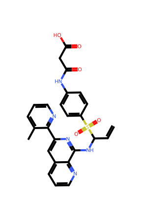 C=CC(Nc1nc(-c2ncccc2C)cc2cccnc12)S(=O)(=O)c1ccc(NC(=O)CC(=O)O)cc1